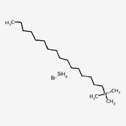 CCCCCCCCCCCCCCCC[N+](C)(C)C.[Br-].[SiH4]